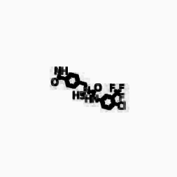 NC(=O)c1ccc(CN(S)C(=O)Nc2ccc(Cl)c(C(F)(F)F)c2)cc1